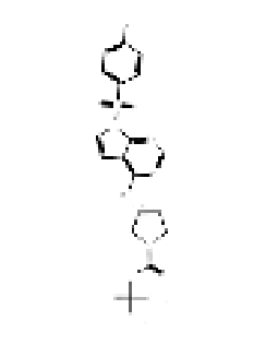 Cc1ccc(S(=O)(=O)n2ccc3c(N[C@@H]4CCN(C(=O)OC(C)(C)C)C4)ncnc32)cc1